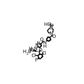 BOC#C[C@@H](Oc1cc(C(=O)Nc2ccc(C(=O)N3CCCN(B(C)O)CC3)cc2)nnc1N)c1c(Cl)ccc(F)c1Cl